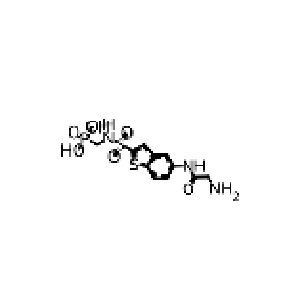 NCC(=O)Nc1ccc2sc(S(=O)(=O)NCP(=O)(O)O)cc2c1